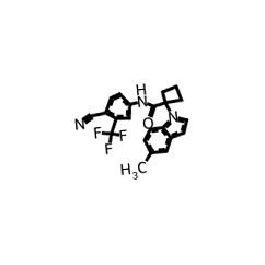 Cc1ccc2c(ccn2C2(C(=O)Nc3ccc(C#N)c(C(F)(F)F)c3)CCC2)c1